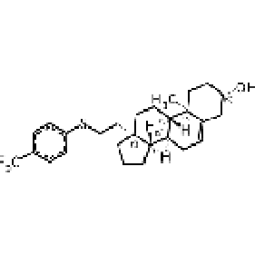 C[C@]12CC[C@H](O)CC1=CC[C@H]1[C@@H]3CCC[C@@]3(CCSc3ccc(C(F)(F)F)cc3)CC[C@@H]12